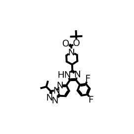 CC(C)c1nnc2ccc(-c3[nH]c(C4CCN(C(=O)OC(C)(C)C)CC4)nc3-c3ccc(F)cc3F)nn12